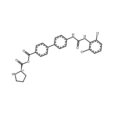 O=C(Nc1ccc(-c2ccc(C(=O)OC(=O)[C@H]3CCCN3)cc2)cc1)Nc1c(Cl)cccc1Cl